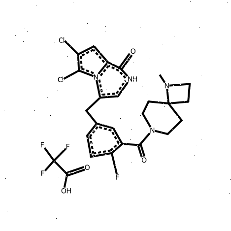 CN1CCC12CCN(C(=O)c1cc(Cc3c[nH]c(=O)c4cc(Cl)c(Cl)n34)ccc1F)CC2.O=C(O)C(F)(F)F